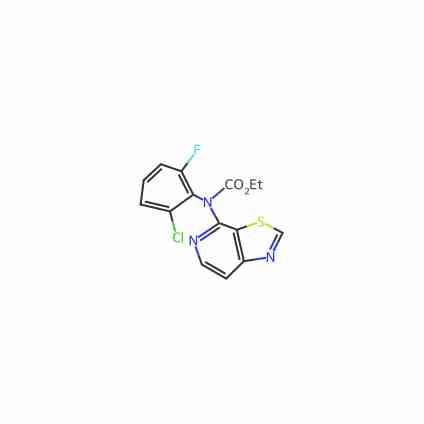 CCOC(=O)N(c1c(F)cccc1Cl)c1nccc2ncsc12